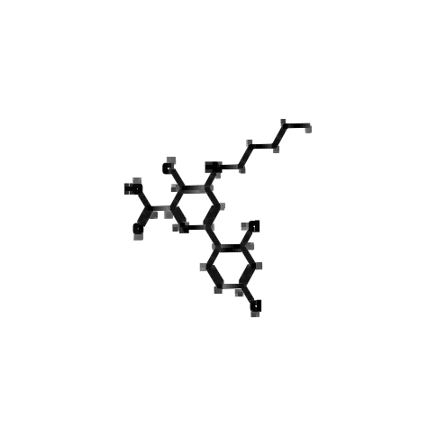 CCCCCNc1cc(-c2ccc(Cl)cc2Cl)nc(C(=O)O)c1Cl